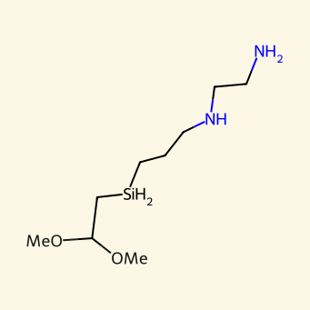 COC(C[SiH2]CCCNCCN)OC